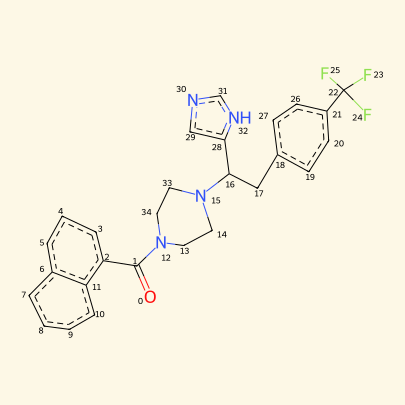 O=C(c1cccc2ccccc12)N1CCN(C(Cc2ccc(C(F)(F)F)cc2)c2cnc[nH]2)CC1